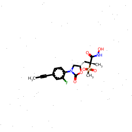 CC#Cc1ccc(N2C[C@H](C[C@](C)(C(=O)NO)S(C)(=O)=O)OC2=O)c(F)c1